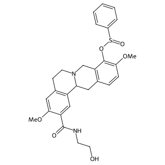 COc1cc2c(cc1C(=O)NCCO)C1Cc3ccc(OC)c(OS(=O)c4ccccc4)c3CN1CC2